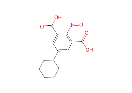 O=Ic1c(C(=O)O)cc(C2CCCCC2)cc1C(=O)O